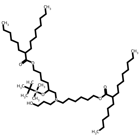 CCCCCCCCC(CCCCCC)C(=O)OCCCCCCN(CCCO)CC(CCCCOC(=O)C(CCCCCC)CCCCCCCC)O[Si](C)(C)C(C)(C)C